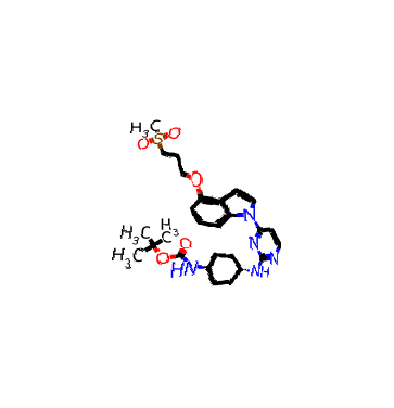 CC(C)(C)OC(=O)N[C@H]1CC[C@H](Nc2nccc(-n3ccc4c(OCCCS(C)(=O)=O)cccc43)n2)CC1